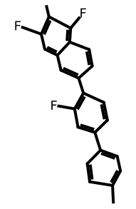 Cc1ccc(-c2ccc(-c3ccc4c(F)c(C)c(F)cc4c3)c(F)c2)cc1